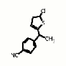 CC(C1=CCC(Cl)S1)c1ccc(C#N)cc1